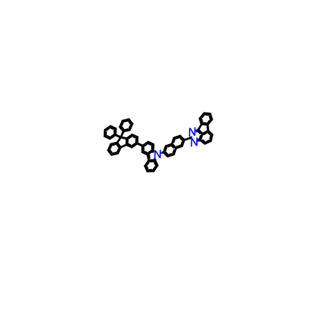 c1ccc(C2(c3ccccc3)c3ccccc3-c3cc(-c4ccc5c(c4)c4ccccc4n5-c4ccc5cc(-c6nc7c8c(cccc8n6)-c6ccccc6-7)ccc5c4)ccc32)cc1